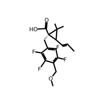 CC=CC1C(C)(C)[C@]1(Cc1c(F)c(F)c(COC)c(F)c1F)C(=O)O